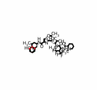 CC(=O)O[C@H](C[C@H](C(C)C)N(C)C(=O)[C@H](NC(=O)[C@H]1CCCCN1C)C(C(F)(F)F)C(F)(F)F)c1nc(C(=O)N[C@@H](Cc2ccccc2)C[C@H](C)C(=O)O)cs1